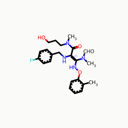 Cc1ccccc1ON/C(=C(\NCc1ccc(F)cc1)C(=O)N(C)CCCO)N(C)C=O